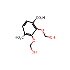 O=C(O)c1ccc(C(=O)O)c(OCO)c1OCO